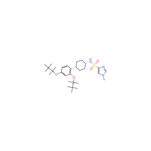 Cn1cnc(S(=O)(=O)N[C@H]2CC[C@@H](c3ccc(O[Si](C)(C)C(C)(C)C)cc3O[Si](C)(C)C(C)(C)C)CC2)c1